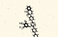 Bc1cc(C[C@@H](OC(=O)N2CCC(N3CCc4ccccc4NC3=O)CC2)C(=O)N2CCN(C3CCCCC3)CC2)cc(Br)c1O